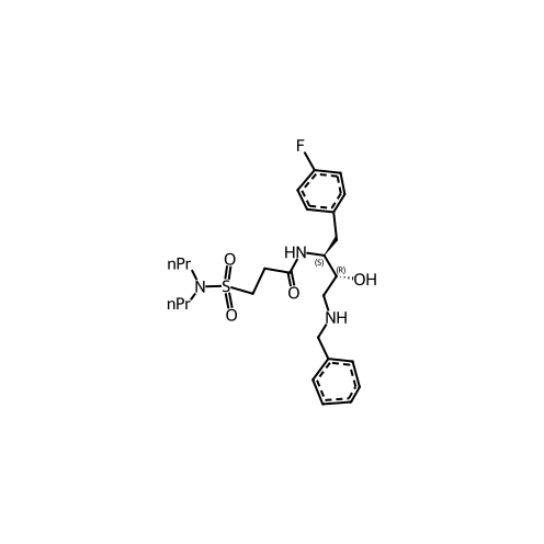 CCCN(CCC)S(=O)(=O)CCC(=O)N[C@@H](Cc1ccc(F)cc1)[C@H](O)CNCc1ccccc1